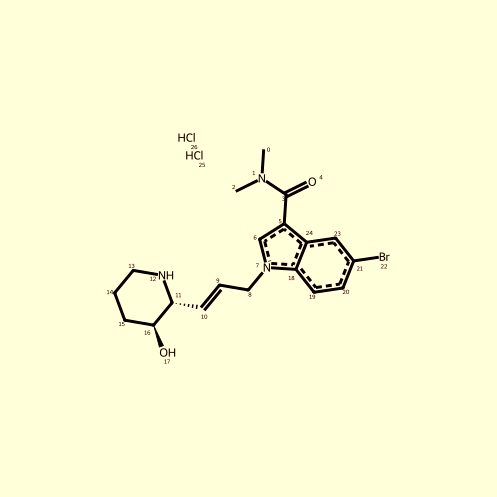 CN(C)C(=O)c1cn(C/C=C/[C@H]2NCCC[C@@H]2O)c2ccc(Br)cc12.Cl.Cl